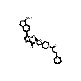 CNC1CCc2cc(-c3cnc4c(=O)n(CC5(O)CCN(C(=O)CCc6ccccc6)CC5)cnn34)ccc21